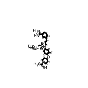 CCOC(=O)CS(=O)(=O)N(C/C=C/c1cccc(C(=N)N)c1)c1ccc(OC2CCN(C(C)=N)CC2)c(F)c1.Cl.Cl